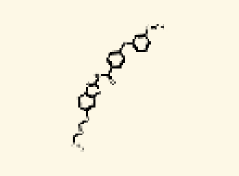 CCOCOc1ccc2nc(NC(=O)c3ccc([I+]c4cccc(OC)c4)cc3)sc2c1